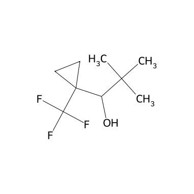 CC(C)(C)C(O)C1(C(F)(F)F)CC1